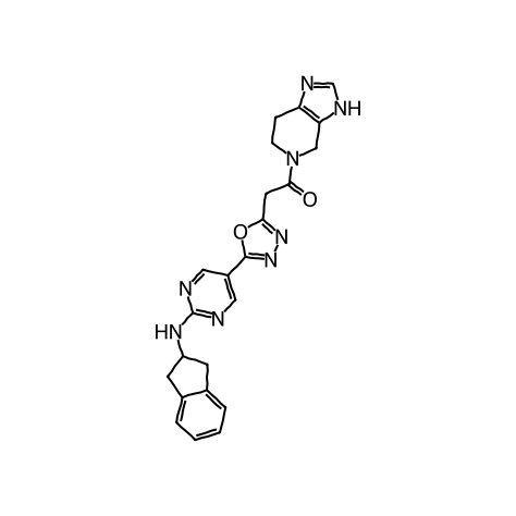 O=C(Cc1nnc(-c2cnc(NC3Cc4ccccc4C3)nc2)o1)N1CCc2nc[nH]c2C1